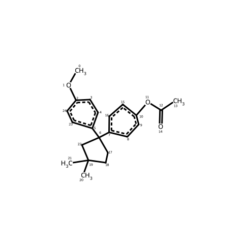 COc1ccc(C2(c3ccc(OC(C)=O)cc3)CCC(C)(C)C2)cc1